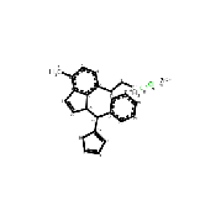 CCCc1ccc(C)c2c1C(C(C1=CC=CC1)c1ccccc1)C=C2.[Cl-].[Cl-].[Zr+2]